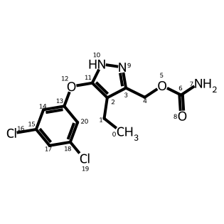 CCc1c(COC(N)=O)n[nH]c1Oc1cc(Cl)cc(Cl)c1